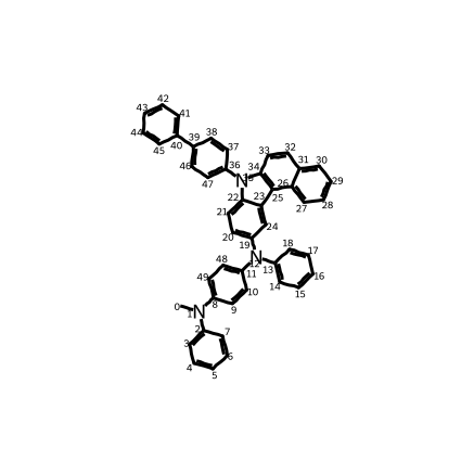 CN(c1ccccc1)c1ccc(N(c2ccccc2)c2ccc3c(c2)c2c4ccccc4ccc2n3-c2ccc(-c3ccccc3)cc2)cc1